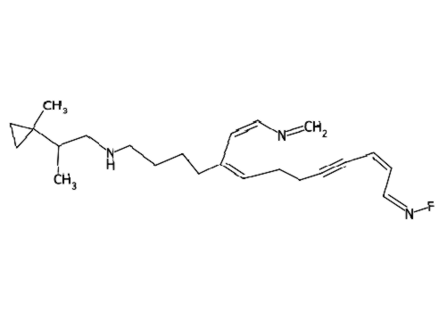 C=N/C=C\C(=C/CCC#C/C=C\C=N/F)CCCCNCC(C)C1(C)CC1